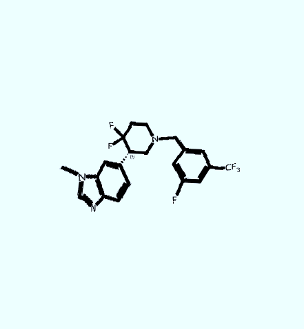 Cn1cnc2ccc([C@H]3CN(Cc4cc(F)cc(C(F)(F)F)c4)CCC3(F)F)cc21